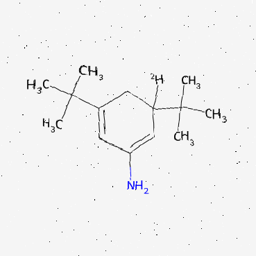 [2H]C1(C(C)(C)C)C=C(N)C=C(C(C)(C)C)C1